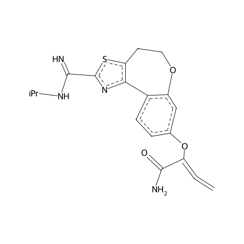 C=C=C(Oc1ccc2c(c1)OCCc1sc(C(=N)NC(C)C)nc1-2)C(N)=O